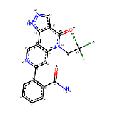 NC(=O)c1ccccc1-c1cc2c(cn1)c1[nH]ncc1c(=O)n2CC(F)(F)F